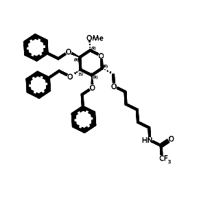 CO[C@@H]1O[C@H](COCCCCCNC(=O)C(F)(F)F)[C@@H](OCc2ccccc2)[C@H](OCc2ccccc2)[C@H]1OCc1ccccc1